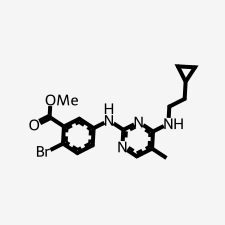 COC(=O)c1cc(Nc2ncc(C)c(NCCC3CC3)n2)ccc1Br